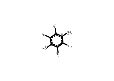 [2H]c1c([2H])c(O)c([2H])c([2H])c1N